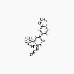 COC1=CC(c2cccc(OC)c2)=CCC1(N=C=O)N=C=O